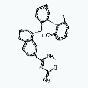 Cc1cccc(O)c1-c1ccccc1Cc1cccc2ccc(/C(N)=N/C(=N)Cl)cc12